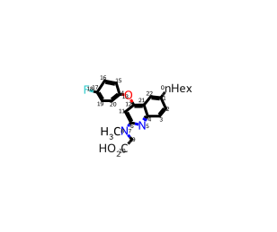 CCCCCCc1ccc2nc(N(C)CC(=O)O)cc(Oc3ccc(F)cc3)c2c1